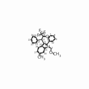 COCn1c(-c2ccccc2)c(C(C(=O)C(F)(F)F)c2ccccc2)c2ccc(C)cc21